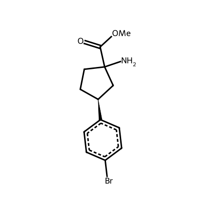 COC(=O)C1(N)CC[C@H](c2ccc(Br)cc2)C1